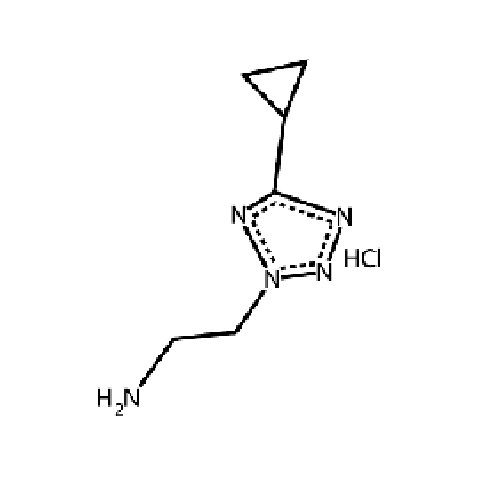 Cl.NCCn1nnc(C2CC2)n1